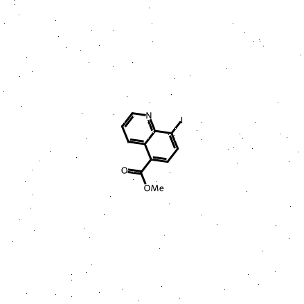 COC(=O)c1ccc(I)c2ncccc12